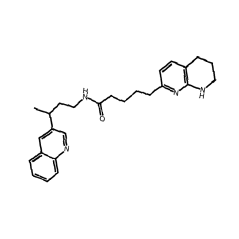 CC(CCNC(=O)CCCCc1ccc2c(n1)NCCC2)c1cnc2ccccc2c1